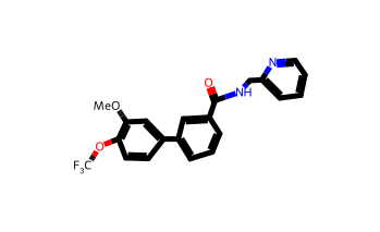 COc1cc(-c2cccc(C(=O)NCc3ccccn3)c2)ccc1OC(F)(F)F